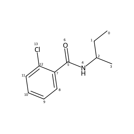 CCC(C)NC(=O)c1ccccc1Cl